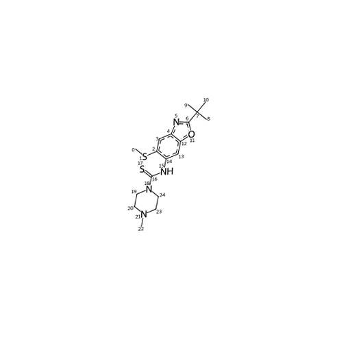 CSc1cc2nc(C(C)(C)C)oc2cc1NC(=S)N1CCN(C)CC1